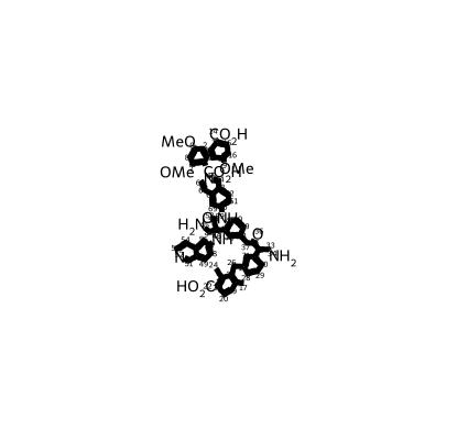 COc1ccc(C(=O)O)c(OC)c1.COc1ccc(C(=O)O)cc1.Cc1ccc(C(=O)O)c(C)c1Cc1cccc(C(CN)C(=O)Cc2cccc(C(CN)(Nc3ccc4cnccc4c3)C(=O)Nc3ccc4cnccc4c3)c2)c1